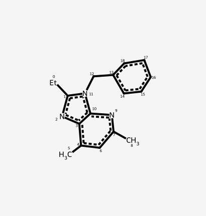 CCc1nc2c(C)cc(C)nc2n1Cc1ccccc1